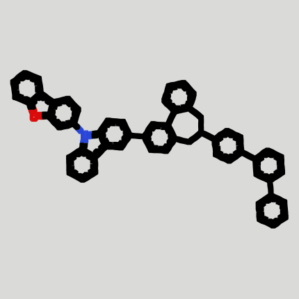 c1ccc(-c2cccc(-c3ccc(C4Cc5ccccc5-c5cc(-c6ccc7c(c6)c6ccccc6n7-c6ccc7c(c6)oc6ccccc67)ccc5C4)cc3)c2)cc1